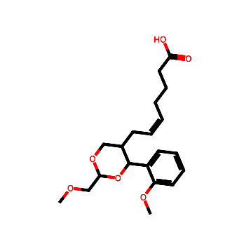 COCC1OCC(C/C=C\CCCC(=O)O)C(c2ccccc2OC)O1